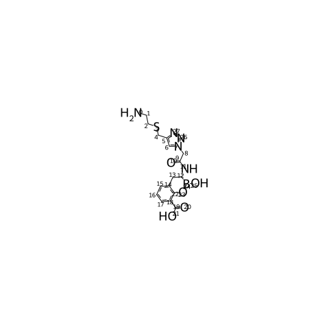 NCCSCc1cn(CC(=O)N[C@H]2Cc3cccc(C(=O)O)c3OB2O)nn1